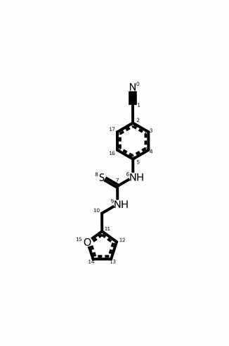 N#Cc1ccc(NC(=S)NCc2ccco2)cc1